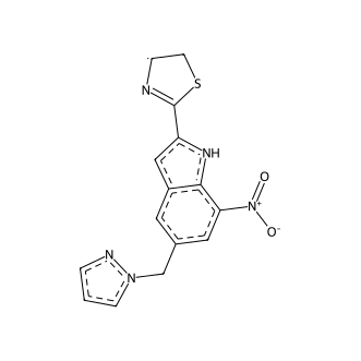 O=[N+]([O-])c1cc(Cn2cccn2)cc2cc(C3=N[CH]CS3)[nH]c12